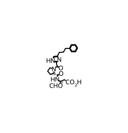 O=C[C@H](CC(=O)O)NC(=O)[C@@H]1CCCN1C(=O)c1nc(CCCc2ccccc2)c[nH]1